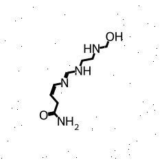 NC(=O)C/C=C\N=C\NCCNCO